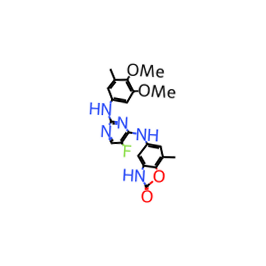 COc1cc(Nc2ncc(F)c(Nc3cc(C)c4oc(=O)[nH]c4c3)n2)cc(C)c1OC